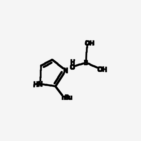 CCCCc1ncc[nH]1.OB(O)O